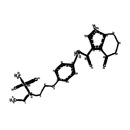 CCN(CCOc1ccc(NC(=O)c2c[nH]c3c2C(=O)CCC3)cc1)S(C)(=O)=O